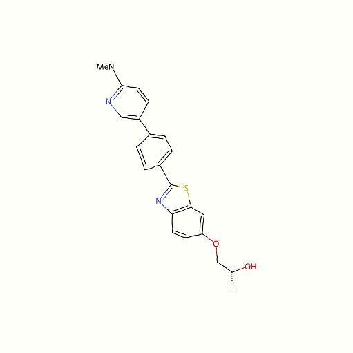 CNc1ccc(-c2ccc(-c3nc4ccc(OC[C@@H](C)O)cc4s3)cc2)cn1